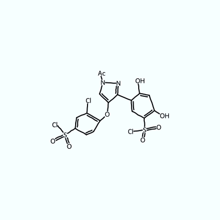 CC(=O)n1cc(Oc2ccc(S(=O)(=O)Cl)cc2Cl)c(-c2cc(S(=O)(=O)Cl)c(O)cc2O)n1